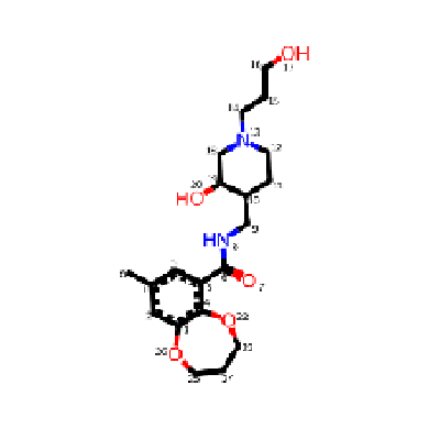 Cc1cc2c(c(C(=O)NC[C@@H]3CCN(CCCO)CC3O)c1)OCCCO2